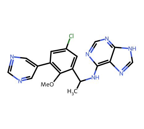 COc1c(-c2cncnc2)cc(Cl)cc1C(C)Nc1ncnc2[nH]cnc12